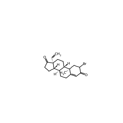 C=C[C@]12CC[C@H]3[C@@H](CCC4=CC(=O)C(Br)C[C@@]43C)[C@@H]1CCC2=O